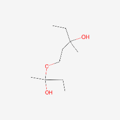 CCC(C)(O)CCOC(C)(O)CC